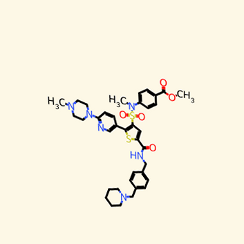 COC(=O)c1ccc(N(C)S(=O)(=O)c2cc(C(=O)NCc3ccc(CN4CCCCC4)cc3)sc2-c2ccc(N3CCN(C)CC3)nc2)cc1